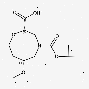 CO[C@@H]1CCO[C@H](C(=O)O)CN(C(=O)OC(C)(C)C)C1